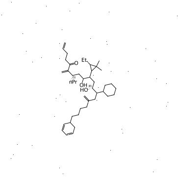 C=CCCC(=O)C(=C)[C@@H](CCC)CC(O)C(C[C@@H](O)C(CC(=C)CCCCC1C=CC=CC1)C1CCCCC1)C1C(CC)C1(C)C